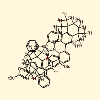 [2H]c1c([2H])c2c(c([2H])c1-c1cccc(-c3c([2H])c([2H])c4c(c3[2H])C(C([2H])([2H])[2H])(C([2H])([2H])[2H])C([2H])([2H])C([2H])([2H])C4(C([2H])([2H])[2H])C([2H])([2H])[2H])c1-n1c[n+](-c3cccc(Oc4cc5c(c6ccccc6n5-c5cc(C(C)(C)C)ccn5)c5nc(C(C)(C)C)oc45)c3)c3ccccc31)C(C([2H])([2H])[2H])(C([2H])([2H])[2H])C([2H])([2H])C([2H])([2H])C2(C([2H])([2H])[2H])C([2H])([2H])[2H]